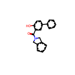 O=C(c1cc(-c2ccccc2)ccc1O)N1Cc2ccccc2C1